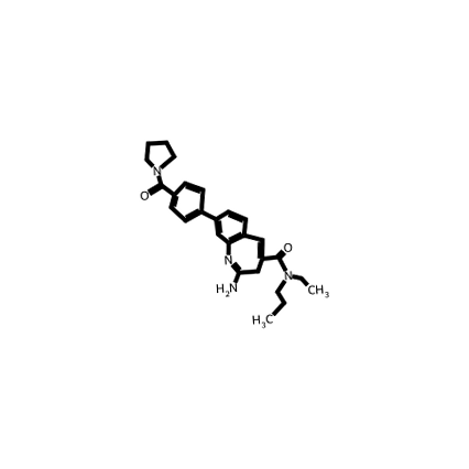 CCCN(CC)C(=O)C1=Cc2ccc(-c3ccc(C(=O)N4CCCC4)cc3)cc2N=C(N)C1